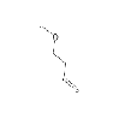 [CH2]OCCC=S